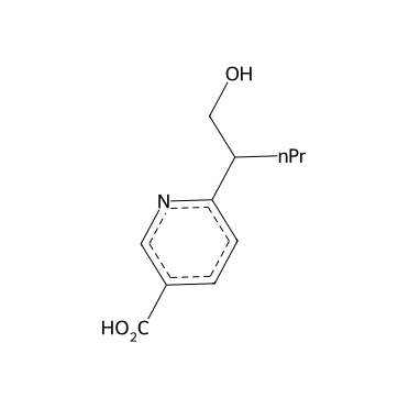 CCCC(CO)c1ccc(C(=O)O)cn1